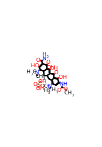 COC(=O)Nc1cc(N(C)C)c2c(c1O)C(=O)C1=C(O)[C@]3(O)C(=O)C(C(N)=O)=C(O)[C@@H](N(C)C)C3CC1C2.O=S(=O)(O)O